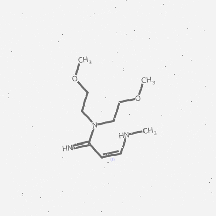 CN/C=C\C(=N)N(CCOC)CCOC